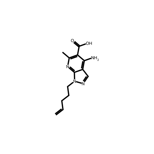 C=CCCCn1ncc2c(N)c(C(=O)O)c(C)nc21